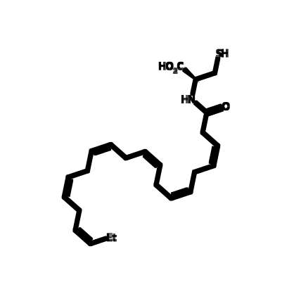 CC/C=C\C/C=C\C/C=C\C/C=C\C/C=C\C/C=C\CC(=O)N[C@H](CS)C(=O)O